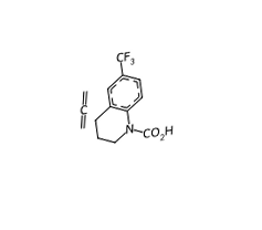 C=C=C.O=C(O)N1CCCc2cc(C(F)(F)F)ccc21